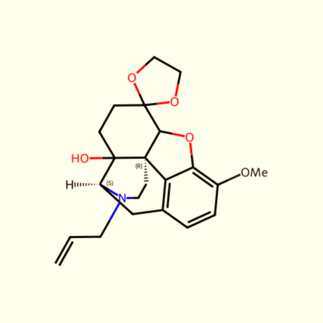 C=CCN1CC[C@@]23c4c5ccc(OC)c4OC2C2(CCC3(O)[C@@H]1C5)OCCO2